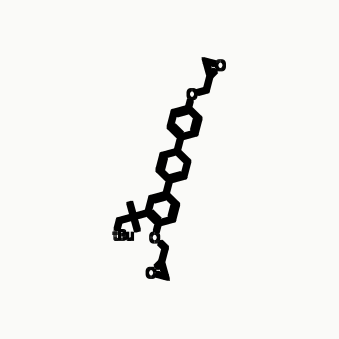 CC(C)(C)CC(C)(C)c1cc(C2=CCC(c3ccc(OCC4CO4)cc3)C=C2)ccc1OCC1CO1